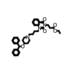 CCOC(=O)CCn1c(=O)c2ccccc2n(CCCCN2CCC(OC(c3ccccc3)c3ccccc3)CC2)c1=O